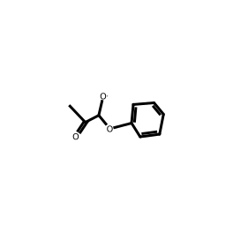 CC(=O)C([O])Oc1ccccc1